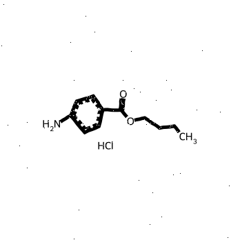 CCCCOC(=O)c1ccc(N)cc1.Cl